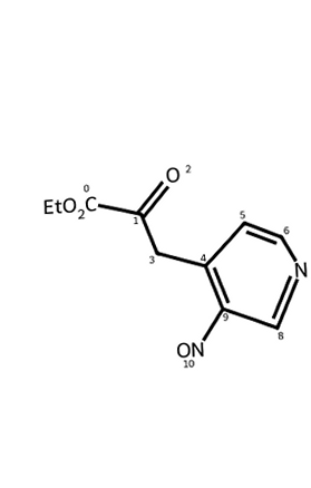 CCOC(=O)C(=O)Cc1ccncc1N=O